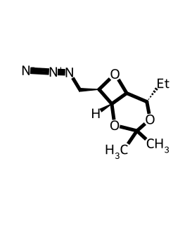 CC[C@@H]1OC(C)(C)O[C@H]2C1O[C@@H]2CN=[N+]=[N-]